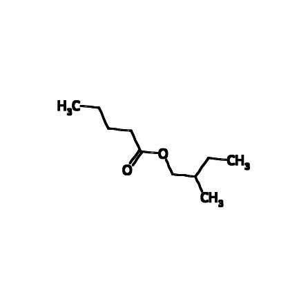 CCCCC(=O)OCC(C)CC